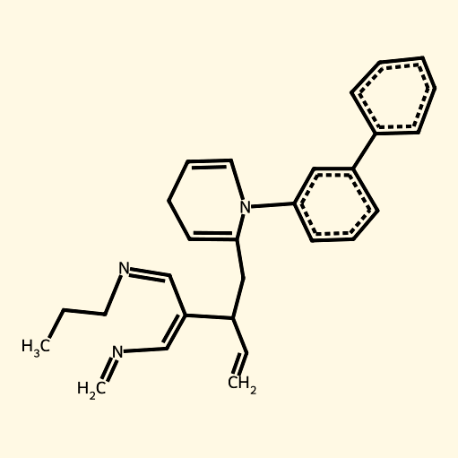 C=CC(CC1=CCC=CN1c1cccc(-c2ccccc2)c1)C(/C=N\CCC)=C/N=C